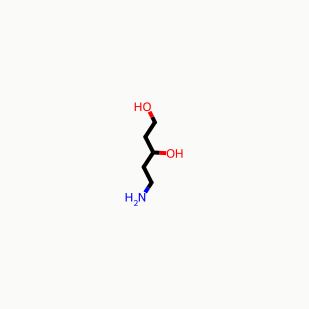 NCC[C](O)CCO